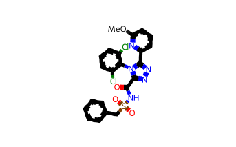 COc1cccc(-c2nnc(C(=O)NS(=O)(=O)Cc3ccccc3)n2-c2c(Cl)cccc2Cl)n1